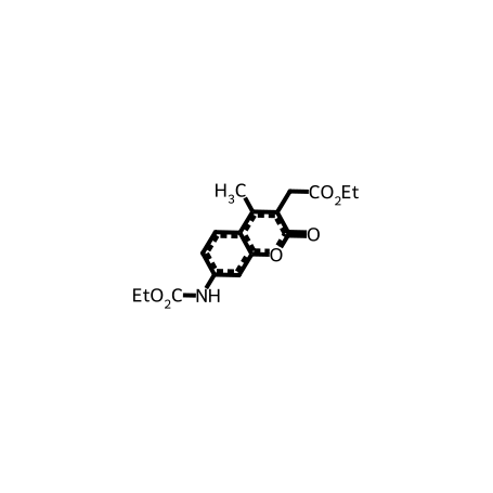 CCOC(=O)Cc1c(C)c2ccc(NC(=O)OCC)cc2oc1=O